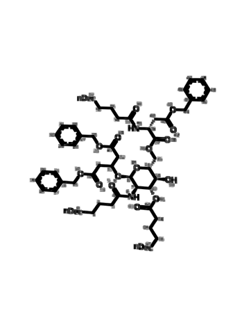 CCCCCCCCCCCCCC(=O)N[C@H]1[C@@H](OC(CC(=O)OCc2ccccc2)CC(=O)OCc2ccccc2)O[C@H](COC(=O)[C@@H](CC(=O)OCc2ccccc2)NC(=O)CCCCCCCCCCCCC)[C@@H](O)[C@@H]1OC(=O)CCCCCCCCCCCCC